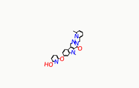 Cc1cccc(Cn2ncc3c4ccc(Oc5cccc(O)n5)cc4n(C)c3c2=O)n1